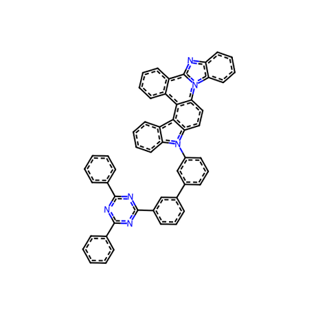 c1ccc(-c2nc(-c3ccccc3)nc(-c3cccc(-c4cccc(-n5c6ccccc6c6c7c8ccccc8c8nc9ccccc9n8c7ccc65)c4)c3)n2)cc1